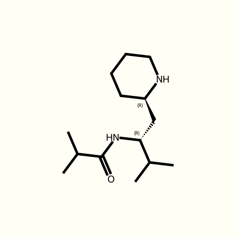 CC(C)C(=O)N[C@H](C[C@H]1CCCCN1)C(C)C